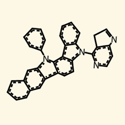 C1=Nc2ccnc(-n3c4ccccc4c4c3ccc3c5cc6ccccc6cc5n(-c5ccccc5)c34)c2C1